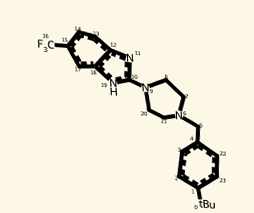 CC(C)(C)c1ccc(CN2CCN(c3nc4ccc(C(F)(F)F)cc4[nH]3)CC2)cc1